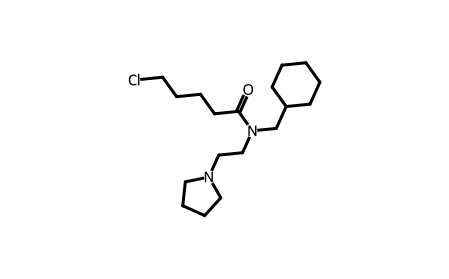 O=C(CCCCCl)N(CCN1CCCC1)CC1CCCCC1